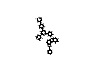 c1ccc(-c2nc3ccc4c(c5ccccc5n4-c4cccc(-c5cc(-c6ccc(-c7ccncc7)cc6)cc(-c6ccncc6)n5)c4)c3o2)cc1